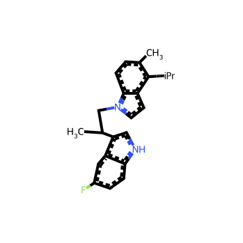 Cc1ccc2c(ccn2CC(C)c2c[nH]c3ccc(F)cc23)c1C(C)C